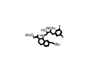 CON=C(C)C1CCc2ccc(CC(C)(C)C)cc2C1NCC(O)C(Cc1cc(F)cc(F)c1)NC(C)=O